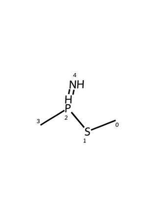 CS[PH](C)=N